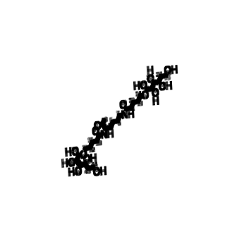 CC(=O)C(CCCCNC(=O)CCCCOC(O)C(O)C(O)C(O)CCO)NC(=O)CCCCOC(O)/C(O)=C(/O)C(O)CCO